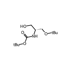 CC(C)(C)OC[C@@H](CO)NC(=O)OC(C)(C)C